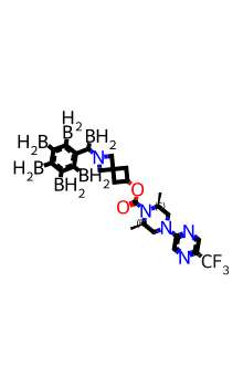 Bc1c(B)c(B)c(C(B)N2CC3(CC(OC(=O)N4[C@H](C)CN(c5cnc(C(F)(F)F)cn5)C[C@@H]4C)C3)C2)c(B)c1B